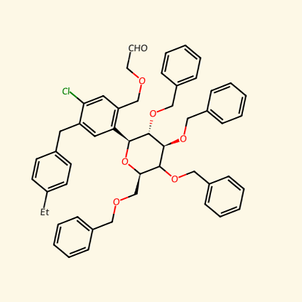 CCc1ccc(Cc2cc([C@@H]3O[C@H](COCc4ccccc4)C(OCc4ccccc4)[C@H](OCc4ccccc4)[C@H]3OCc3ccccc3)c(COCC=O)cc2Cl)cc1